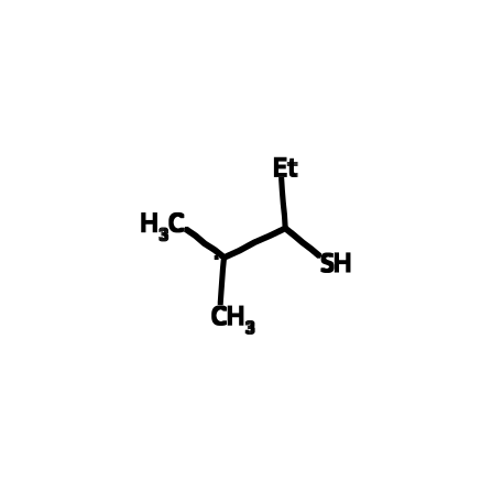 CCC(S)[C](C)C